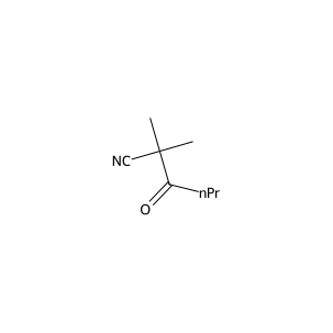 CCCC(=O)C(C)(C)C#N